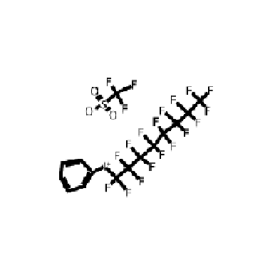 FC(F)(F)C(F)(F)C(F)(F)C(F)(F)C(F)(F)C(F)(F)C(F)(F)C(F)(F)[I+]c1ccccc1.O=S(=O)([O-])C(F)(F)F